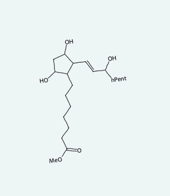 CCCCCC(O)C=CC1C(O)CC(O)C1CCCCCCC(=O)OC